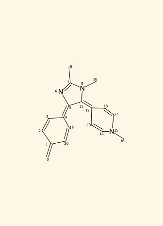 C=c1ccc(=c2nc(C)n(C)c2=C2C=CN(C)C=C2)cc1